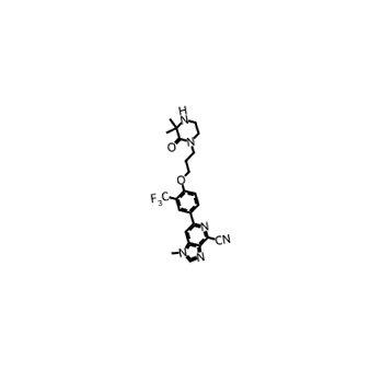 Cn1cnc2c(C#N)nc(-c3ccc(OCCCN4CCNC(C)(C)C4=O)c(C(F)(F)F)c3)cc21